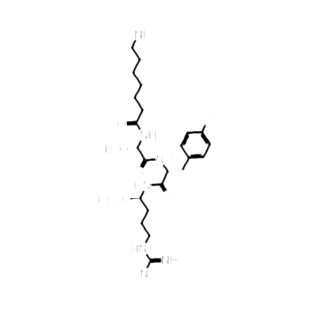 C[C@H](NC(=O)CCCCCCN)C(=O)N[C@H](Cc1ccc(Cl)cc1)C(=O)N[C@@H](CCCNC(=N)N)C(=O)O